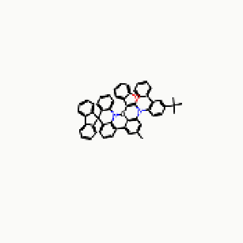 Cc1cc2c3c(c1)N(c1ccc(C(C)(C)C)cc1-c1ccccc1)c1oc4ccccc4c1B3N1c3ccccc3C3(c4ccccc4-c4ccccc43)c3cccc-2c31